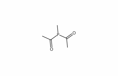 CC(=O)P(C)C(C)=O